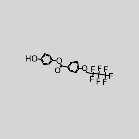 O=C(Oc1ccc(O)cc1)c1ccc(OCC(F)(F)C(F)(F)C(F)(F)F)cc1